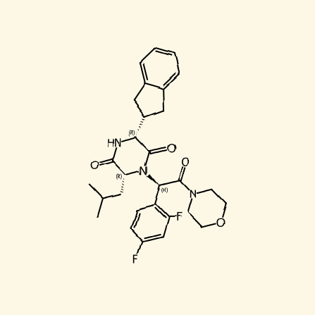 CC(C)C[C@@H]1C(=O)N[C@H](C2Cc3ccccc3C2)C(=O)N1[C@@H](C(=O)N1CCOCC1)c1ccc(F)cc1F